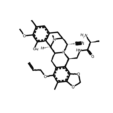 C=CCOc1c(C)c2c(c3c1CC1[C@H]4c5c(cc(C)c(OC)c5O)CC([C@H](C#N)N1[C@H]3CNC(=O)[C@H](C)N)N4C)OCO2